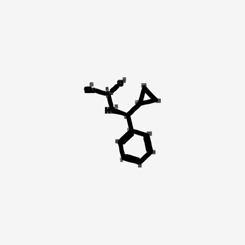 CC(C)(C)[S+]([O-])N[C@H](c1ccccc1)C1CC1